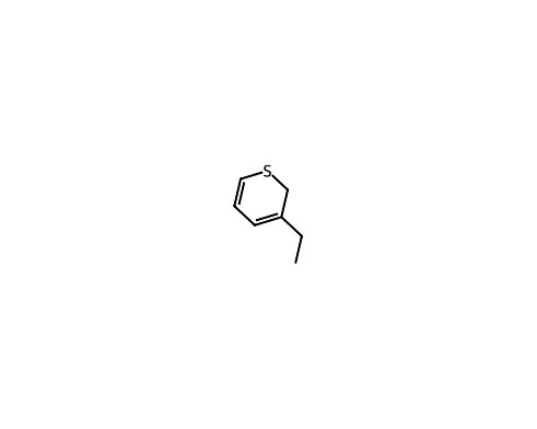 CCC1=CC=CSC1